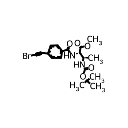 COC(=O)[C@@H](NC(=O)c1ccc(C#CBr)cc1)[C@@H](C)NC(=O)OC(C)(C)C